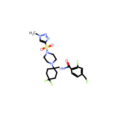 Cn1cc(S(=O)(=O)N2CCN(C3(CNC(=O)c4ccc(CF)cc4F)CCC(F)(F)CC3)CC2)nn1